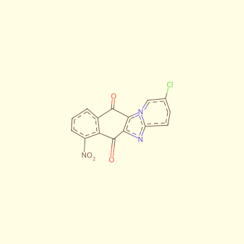 O=C1c2nc3ccc(Cl)cn3c2C(=O)c2cccc([N+](=O)[O-])c21